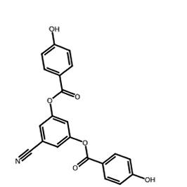 N#Cc1cc(OC(=O)c2ccc(O)cc2)cc(OC(=O)c2ccc(O)cc2)c1